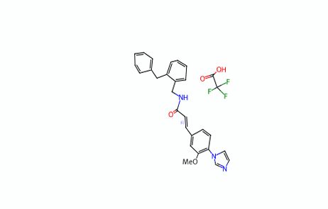 COc1cc(/C=C/C(=O)NCc2ccccc2Cc2ccccc2)ccc1-n1ccnc1.O=C(O)C(F)(F)F